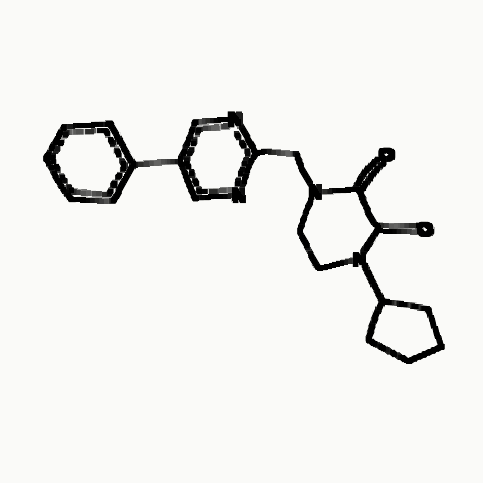 O=C1C(=O)N(C2CCCC2)CCN1Cc1ncc(-c2ccccc2)cn1